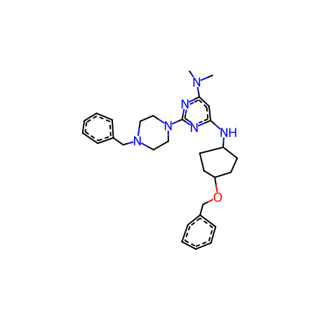 CN(C)c1cc(NC2CCC(OCc3ccccc3)CC2)nc(N2CCN(Cc3ccccc3)CC2)n1